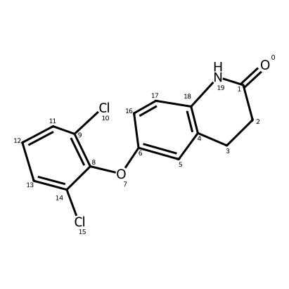 O=C1CCc2cc(Oc3c(Cl)cccc3Cl)ccc2N1